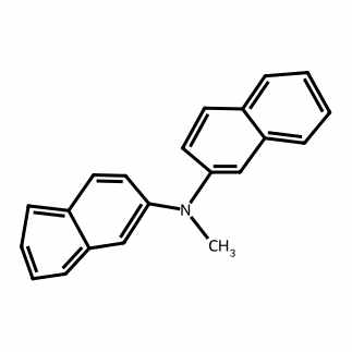 CN(c1ccc2ccccc2c1)c1ccc2ccccc2c1